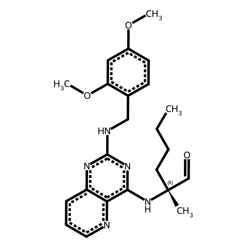 CCCC[C@](C)(C=O)Nc1nc(NCc2ccc(OC)cc2OC)nc2cccnc12